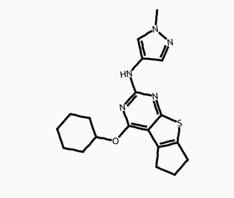 Cn1cc(Nc2nc(OC3CCCCC3)c3c4c(sc3n2)CCC4)cn1